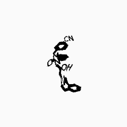 N#Cc1ccc(Cn2ccn(CC(O)CN3CCc4ccccc4C3)c2=O)cc1